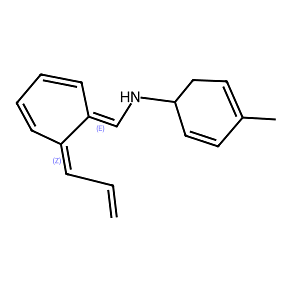 C=C/C=c1/cccc/c1=C\NC1C=CC(C)=CC1